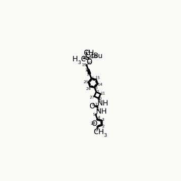 Cc1ccc(CNC(=O)NC2CC(c3ccc(C#CCO[Si](C)(C)C(C)(C)C)cc3)C2)o1